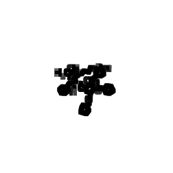 CCCCCCCCCCCCCC[C@H]1OC(C)(C)O[C@H]1[C@H](CO[C@H]1CC(COCc2ccccc2)[C@H](OCc2ccccc2)[C@H](OCc2ccccc2)C1C)NCc1ccccc1